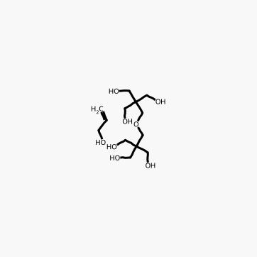 C=CCO.OCC(CO)(CO)COCC(CO)(CO)CO